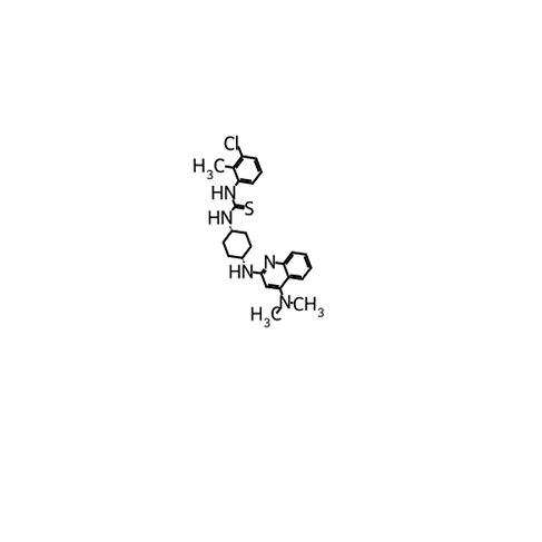 Cc1c(Cl)cccc1NC(=S)N[C@H]1CC[C@@H](Nc2cc(N(C)C)c3ccccc3n2)CC1